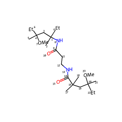 CCC(C)(CC(C)(CC)OC)NC(=O)CCNC(=O)C(C)(C)CC(C)(CC)OC